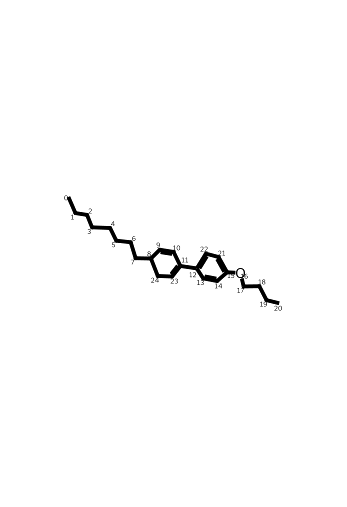 CCCCCCCCC1C=CC(c2ccc(OCCCC)cc2)=CC1